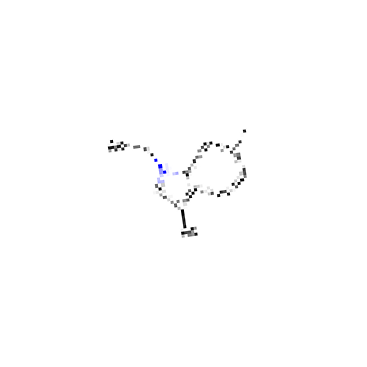 CC(=O)Cn1cc(C(C)=O)c2ccc(C)cc21